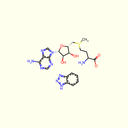 C[S+](CCC(N)C(=O)[O-])C[C@H]1O[C@@H](n2cnc3c(N)ncnc32)[C@H](O)[C@@H]1O.c1ccc2[nH]nnc2c1